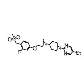 CCc1cnc(N2CCC(N(C)CCOc3ccc(CS(C)(=O)=O)c(F)c3)CC2)nc1